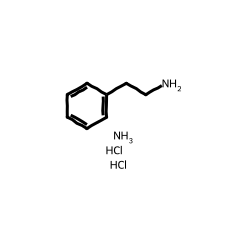 Cl.Cl.N.NCCc1ccccc1